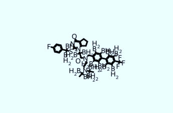 Bc1c(B)c(-c2c(B)c(B)c(C(F)(F)F)c(B)c2B)c(B)c(B)c1CN(CCN(C(B)(B)C)C(B)(B)C)C(=O)C(B)(B)n1c(SC(B)(B)c2ccc(F)cc2)nc(=O)c2c1CCC2